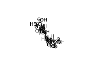 O=C(O)c1cc(Nc2nc(Cl)nc(NNCCNNc3nc(Cl)nc(Nc4cc(C(=O)O)cc(C(=O)O)c4)n3)n2)cc(C(=O)O)c1